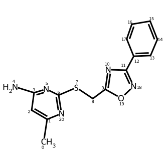 Cc1cc(N)nc(SCc2nc(-c3ccccc3)no2)n1